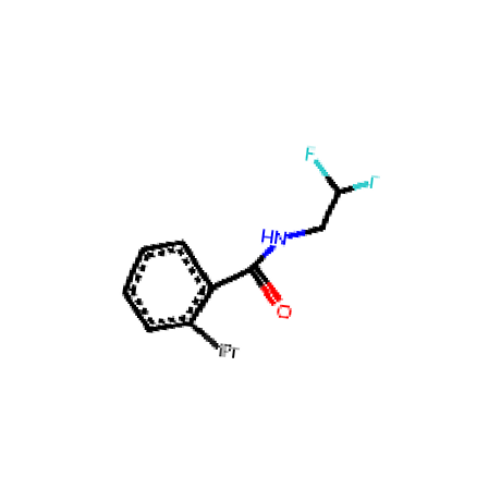 CC(C)c1ccccc1C(=O)NCC(F)F